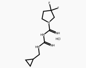 Cl.N=C(NCC1CC1)NC(=N)N1CCC(F)(F)C1